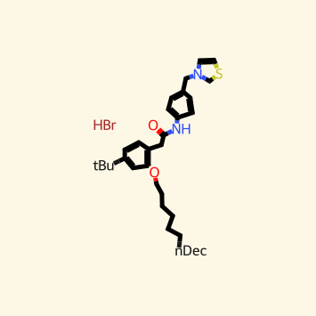 Br.CCCCCCCCCCCCCCCCOc1cc(C(C)(C)C)ccc1CC(=O)Nc1ccc(CN2C=CSC2)cc1